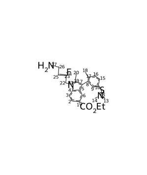 CCOC(=O)c1ccc2c(c1)c(-c1cc(SN(C)C)ccc1C)c(C)n2C/C(F)=C/CN